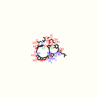 CCCOC(CNC(C)(C)C(O)C(C)OC(C)OC1C(Oc2c3cc4cc2Oc2ccc(cc2Cl)[C@@H](O)CC(=O)NC(C(=O)O)c2cc(O)cc(O)c2-c2cc(ccc2O)[C@H](C(N)=O)NC(=O)C4NC(=O)C(CC(N)=O)NC(=O)[C@@H](NC(=O)CCC(C)C)C(O)c2ccc(c(Cl)c2)O3)OC(CO)C(O)C1O)C(=O)O